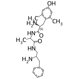 Cc1cc(O)cc(C)c1C[C@H](N)C(=O)NC(C)C(=O)NCC(N)Cc1ccccc1